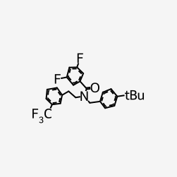 CC(C)(C)c1ccc(CN(CCc2cccc(C(F)(F)F)c2)C(=O)c2cc(F)cc(F)c2)cc1